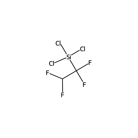 FC(F)C(F)(F)[Si](Cl)(Cl)Cl